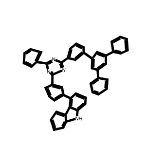 c1ccc(-c2cc(-c3ccccc3)cc(-c3cccc(-c4nc(-c5ccccc5)nc(-c5cccc(-c6cccc7[nH]c8ccccc8c67)c5)n4)c3)c2)cc1